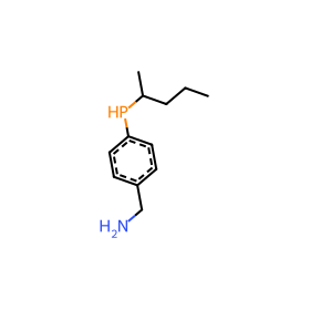 CCCC(C)Pc1ccc(CN)cc1